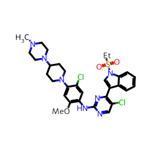 CCS(=O)(=O)n1cc(-c2nc(Nc3cc(Cl)c(N4CCC(N5CCN(C)CC5)CC4)cc3OC)ncc2Cl)c2ccccc21